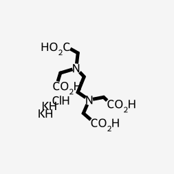 Cl.O=C(O)CN(CCN(CC(=O)O)CC(=O)O)CC(=O)O.[KH].[KH]